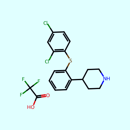 Clc1ccc(Sc2ccccc2C2CCNCC2)c(Cl)c1.O=C(O)C(F)(F)F